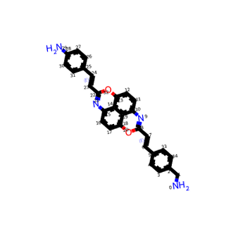 NCc1ccc(/C=C/C2=Nc3ccc4c5c(ccc(c35)O2)N=C(/C=C/c2ccc(N)cc2)O4)cc1